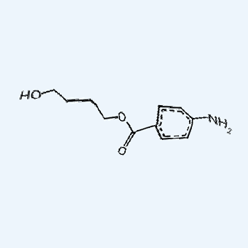 Nc1ccc(C(=O)OCCCCO)cc1